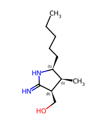 CCCCC[C@@H]1NC(=N)[C@H](CO)[C@@H]1C